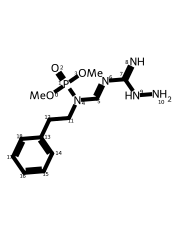 COP(=O)(OC)N(C=NC(=N)NN)CCc1ccccc1